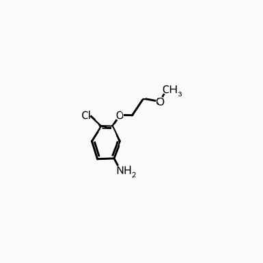 COCCOc1cc(N)ccc1Cl